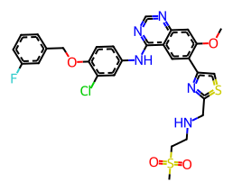 COc1cc2ncnc(Nc3ccc(OCc4cccc(F)c4)c(Cl)c3)c2cc1-c1csc(CNCCS(C)(=O)=O)n1